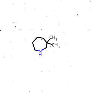 CC1(C)CCCCNC1